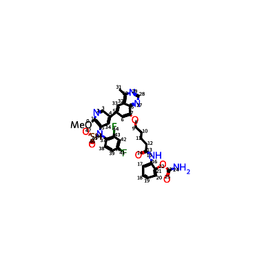 COc1ncc(-c2cc(OCCCCC(=O)Nc3ccccc3OC(N)=O)c3ncnc(C)c3c2)cc1N(c1ccc(F)cc1F)[SH](=O)=O